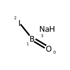 O=BI.[NaH]